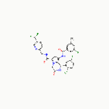 O=C1Cn2c(C(=O)NCc3ccc(C(F)F)cn3)cc(NC(=O)c3cc(F)cc(C(F)(F)F)c3)c2C(c2cc(F)ccc2Cl)N1